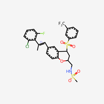 C/C(=C\c1ccc2c(c1)C(S(=O)(=O)c1cccc(C(F)(F)F)c1)CC(CNS(C)(=O)=O)O2)c1c(F)cccc1Cl